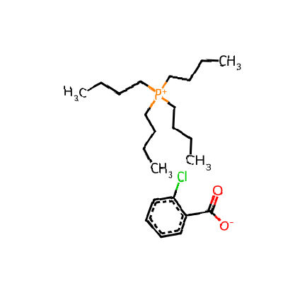 CCCC[P+](CCCC)(CCCC)CCCC.O=C([O-])c1ccccc1Cl